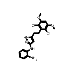 COc1cc(OC)c(Cl)c(CCc2cc(Nc3ccccc3N)n[nH]2)c1Cl